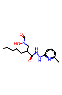 CCCCCC(CN(O)C=O)C(=O)NNc1cccc(C)n1